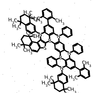 Cc1cccc(C)c1-c1cc2c3c(c1)N(c1ccccc1)c1cc4c(cc1B3c1ccccc1N2c1ccc2c(c1)C(C)(C)CCC2(C)C)B1c2sc3ccc5c(c3c2N(c2ccc3c(c2)C(C)(C)CCC3(C)C)c2cc(-c3c(C)cccc3C)cc(c21)N4c1ccccc1)C(C)(C)CCC5(C)C